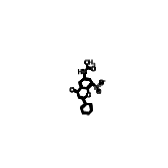 CC(=O)Nc1cc([N+](=O)[O-])c2oc(-c3ccccc3)cc(=O)c2c1